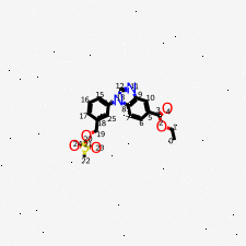 CCOC(=O)c1ccc2c(c1)ncn2-c1cccc(COS(C)(=O)=O)c1